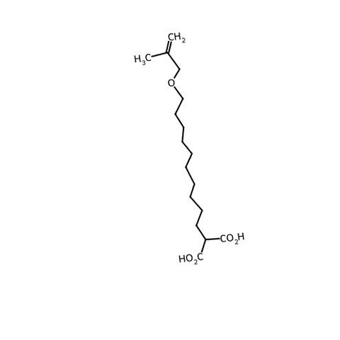 C=C(C)COCCCCCCCCCCC(C(=O)O)C(=O)O